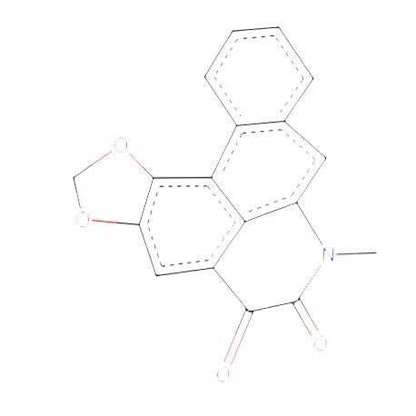 CN1C(=O)C(=O)c2cc3c(c4c2c1cc1ccccc14)OCO3